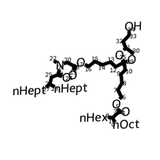 CCCCCCCCC(CCCCCC)C(=O)OCCCCCC1(CCCCCOC(=O)CN(C)C(=O)CC(CCCCCCC)CCCCCCC)OCC(CCO)O1